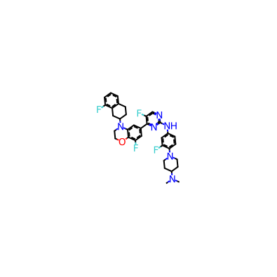 CN(C)C1CCN(c2ccc(Nc3ncc(F)c(-c4cc(F)c5c(c4)N(C4CCc6cccc(F)c6C4)CCO5)n3)cc2F)CC1